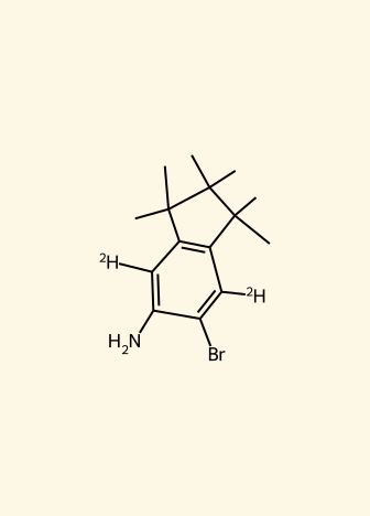 [2H]c1c(N)c(Br)c([2H])c2c1C(C)(C)C(C)(C)C2(C)C